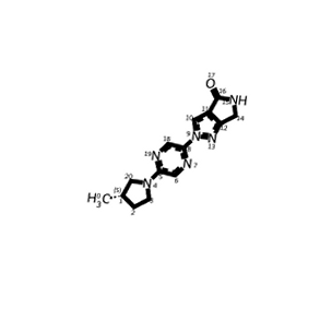 C[C@H]1CCN(c2cnc(-n3cc4c(n3)CNC4=O)cn2)C1